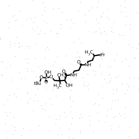 CC(C)C(C)CCNC(=O)CCNC(=O)C(O)C(C)(C)COP(=O)(O)OC(C)(C)C